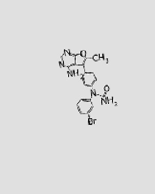 Cc1oc2ncnc(N)c2c1-c1ccc(N(C(N)=O)c2cccc(Br)c2)cc1